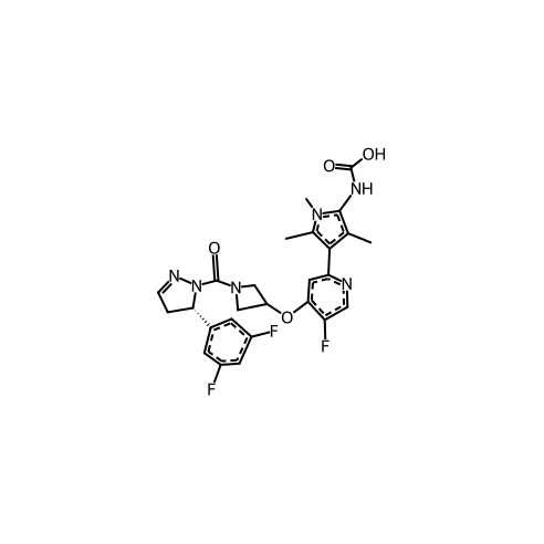 Cc1c(-c2cc(OC3CN(C(=O)N4N=CC[C@H]4c4cc(F)cc(F)c4)C3)c(F)cn2)c(C)n(C)c1NC(=O)O